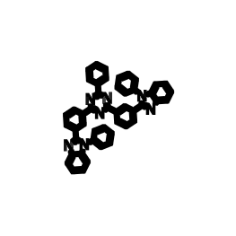 c1ccc(-c2nc(-c3cccc(-c4nc5ccccc5n4-c4ccccc4)c3)nc(-c3cccc(-c4nc5ccccc5n4-c4ccccc4)c3)n2)cc1